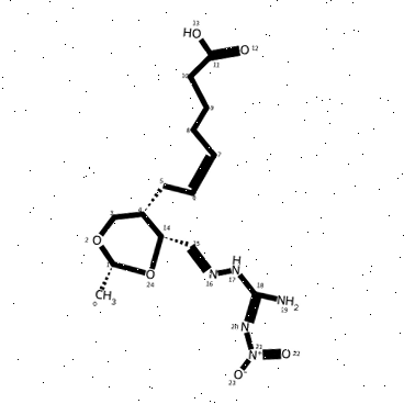 C[C@@H]1OC[C@H](C/C=C\CCCC(=O)O)[C@H](C=NNC(N)=N[N+](=O)[O-])O1